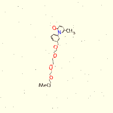 COCCOCCOCCOCCOCc1cccc(-n2cc(C)ccc2=O)c1